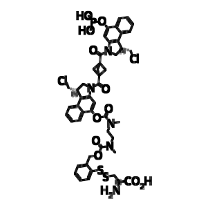 CN(CCN(C)C(=O)Oc1cc2c(c3ccccc13)[C@H](CCl)CN2C(=O)C12CC(C(=O)N3C[C@@H](CCl)c4c3cc(OP(O)O)c3ccccc43)(C1)C2)C(=O)OCc1ccccc1SSC[C@H](N)C(=O)O